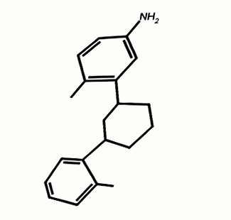 Cc1ccccc1C1CCCC(c2cc(N)ccc2C)C1